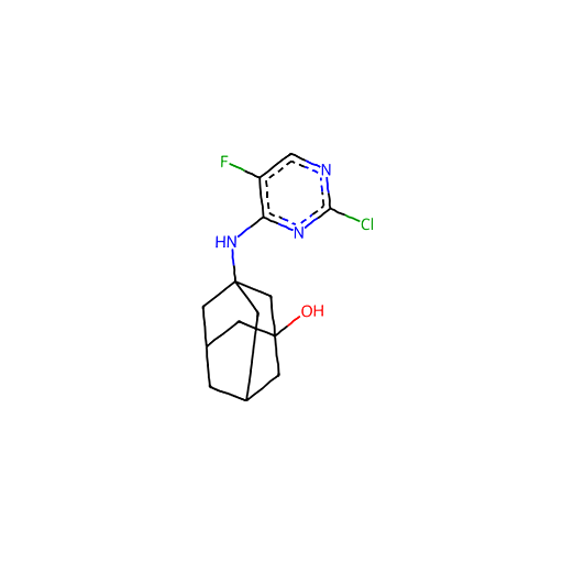 OC12CC3CC(C1)CC(Nc1nc(Cl)ncc1F)(C3)C2